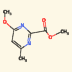 COC(=O)c1nc(C)cc(OC)n1